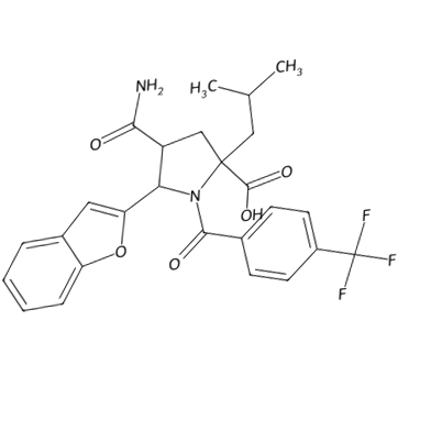 CC(C)CC1(C(=O)O)CC(C(N)=O)C(c2cc3ccccc3o2)N1C(=O)c1ccc(C(F)(F)F)cc1